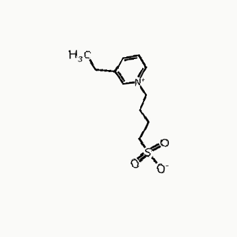 CCc1ccc[n+](CCCCS(=O)(=O)[O-])c1